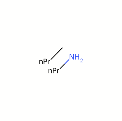 CCCC.CCCN